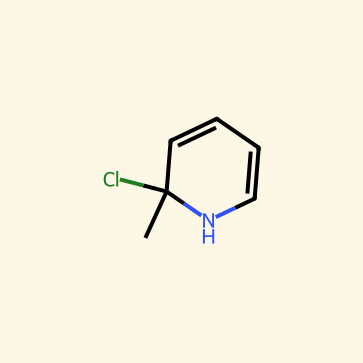 CC1(Cl)C=CC=CN1